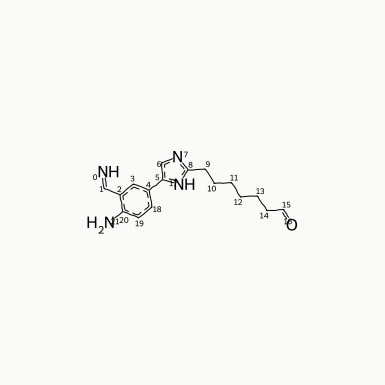 N=Cc1cc(-c2cnc(CCCCCCC=O)[nH]2)ccc1N